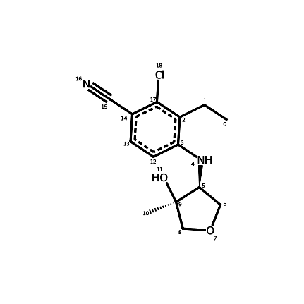 CCc1c(N[C@H]2COC[C@@]2(C)O)ccc(C#N)c1Cl